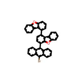 Brc1c2ccccc2c(-c2ccc(-c3cccc4oc5ccccc5c34)c3c2oc2ccccc23)c2ccccc12